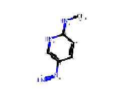 CNC1C=CC(N=N)=CN1